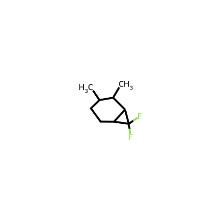 CC1CCC2C(C1C)C2(F)F